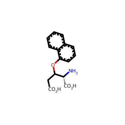 N[C@H](C(=O)O)C(CC(=O)O)Oc1cccc2ccccc12